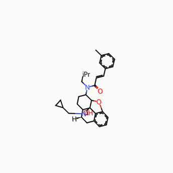 Cc1cccc(/C=C/C(=O)N(CC(C)C)C2CC[C@@]3(O)[C@H]4Cc5cccc6c5[C@@]3(CCN4CC3CC3)C2O6)c1